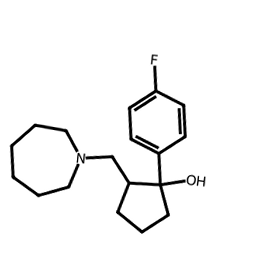 OC1(c2ccc(F)cc2)CCCC1CN1CCCCCC1